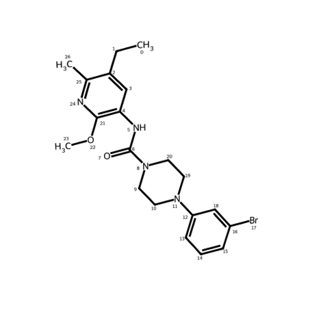 CCc1cc(NC(=O)N2CCN(c3cccc(Br)c3)CC2)c(OC)nc1C